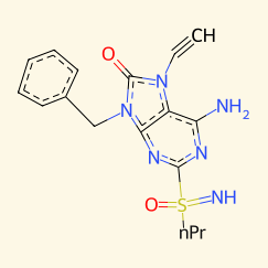 C#Cn1c(=O)n(Cc2ccccc2)c2nc(S(=N)(=O)CCC)nc(N)c21